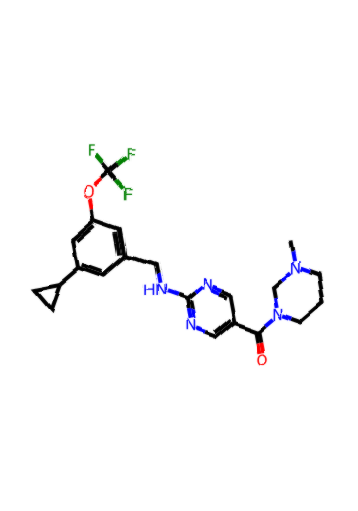 CN1CCCN(C(=O)c2cnc(NCc3cc(OC(F)(F)F)cc(C4CC4)c3)nc2)C1